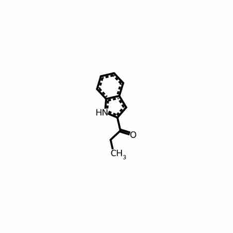 CCC(=O)c1cc2ccccc2[nH]1